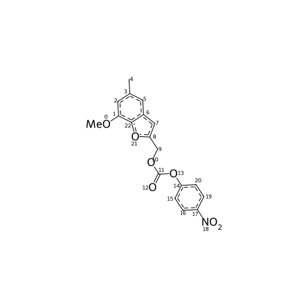 COc1cc(C)cc2cc(COC(=O)Oc3ccc([N+](=O)[O-])cc3)oc12